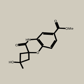 COC(=O)c1ccc2c(c1)NC(=O)C1(CC(C)(O)C1)O2